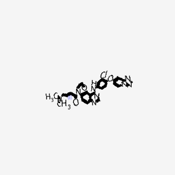 CN(C)C/C=C/C(=O)N1CCOc2c1ccc1ncnc(Nc3ccc(Oc4ccn5ncnc5c4)c(Cl)c3)c21